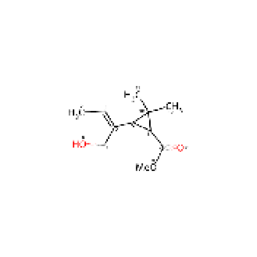 CC=C(CO)C1C(C(=O)OC)C1(C)C